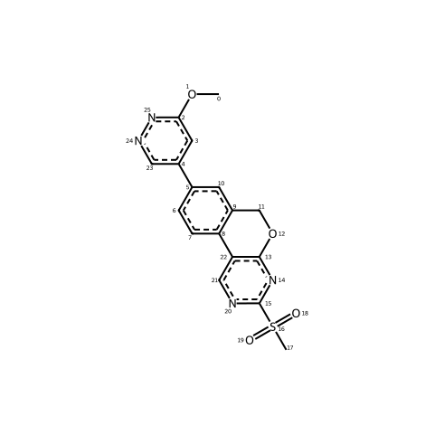 COc1cc(-c2ccc3c(c2)COc2nc(S(C)(=O)=O)ncc2-3)cnn1